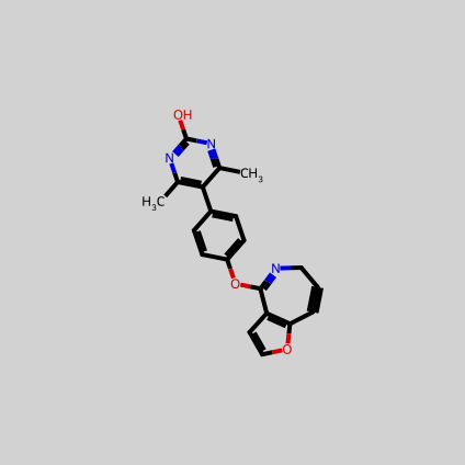 Cc1nc(O)nc(C)c1-c1ccc(OC2=NCC#Cc3occc32)cc1